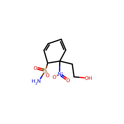 NS(=O)(=O)C1C=CC=CC1(CCO)[N+](=O)[O-]